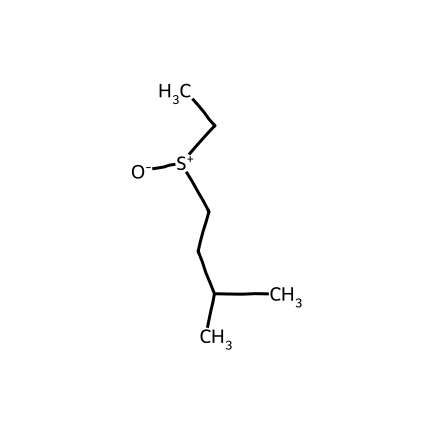 CC[S+]([O-])CCC(C)C